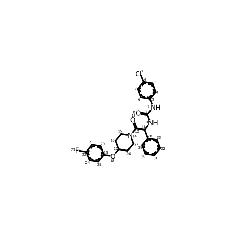 O=C(Nc1ccc(Cl)cc1)NC(C(=O)N1CCC(Oc2ccc(F)cc2)CC1)c1ccccc1